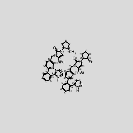 CCCCc1cn(C2CCCC2C)c(=O)n1Cc1ccc(-c2ccccc2-c2nnn[nH]2)nc1.CCCCc1cn(C2CCCC2CC)c(=O)n1Cc1ccc(-c2ccccc2-c2nnn[nH]2)nc1